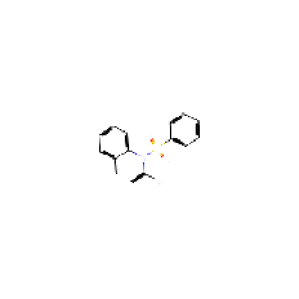 C=C(CC)N(c1ccccc1C)S(=O)(=O)c1ccccc1